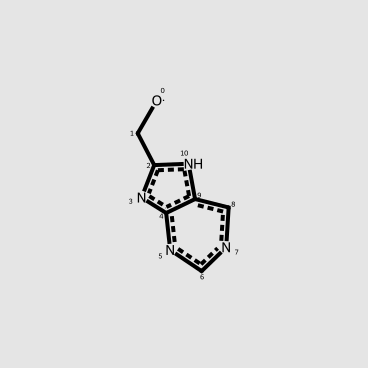 [O]Cc1nc2ncncc2[nH]1